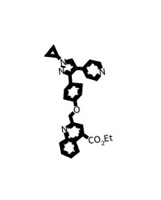 CCOC(=O)c1cc(COc2ccc(-c3nn(C4CC4)cc3-c3ccncc3)cc2)nc2ccccc12